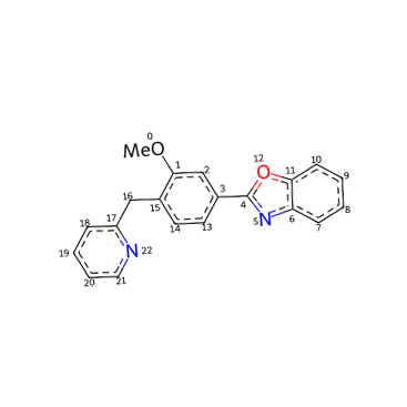 COc1cc(-c2nc3ccccc3o2)ccc1Cc1ccccn1